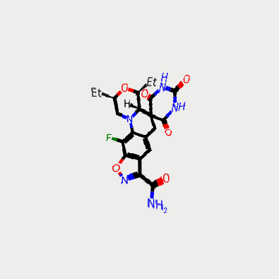 CC[C@@H]1CN2c3c(cc4c(C(N)=O)noc4c3F)CC3(C(=O)NC(=O)NC3=O)[C@H]2[C@H](CC)O1